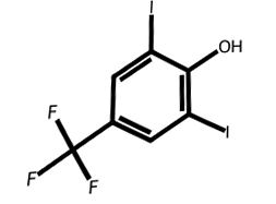 Oc1c(I)cc(C(F)(F)F)cc1I